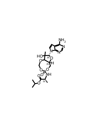 CC(C)OC(=O)[C@H](C)NP1(=O)OCOC2[C@@H](CO1)O[C@@H](n1ccc3c(N)ncnc31)C2(C)O